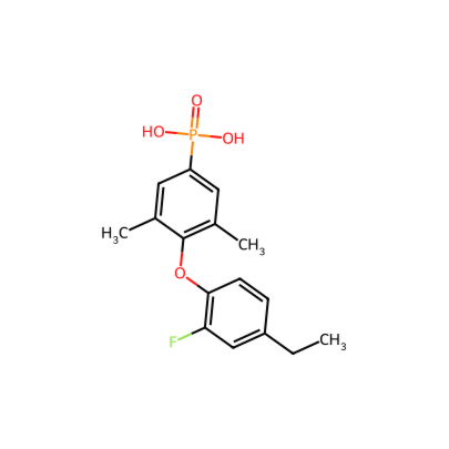 CCc1ccc(Oc2c(C)cc(P(=O)(O)O)cc2C)c(F)c1